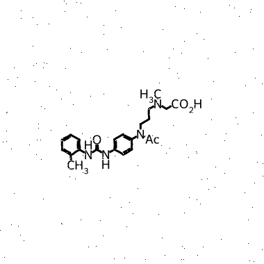 CC(=O)N(CCCN(C)CC(=O)O)c1ccc(NC(=O)Nc2ccccc2C)cc1